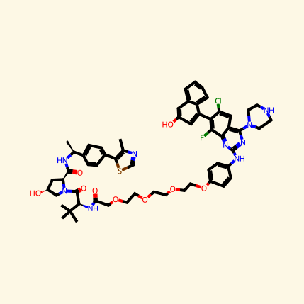 Cc1ncsc1-c1ccc([C@H](C)NC(=O)[C@@H]2C[C@@H](O)CN2C(=O)[C@@H](NC(=O)COCCOCCOCCOc2ccc(Nc3nc(N4CCNCC4)c4cc(Cl)c(-c5cc(O)cc6ccccc56)c(F)c4n3)cc2)C(C)(C)C)cc1